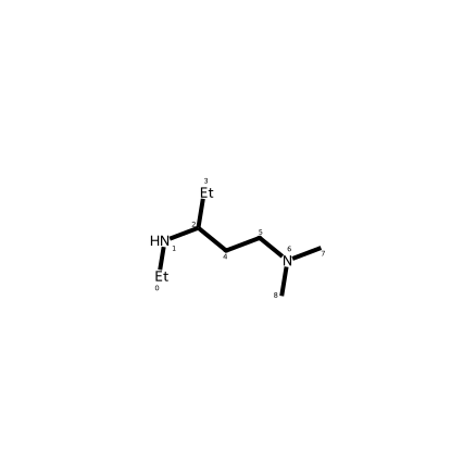 CCNC(CC)CCN(C)C